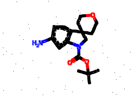 CC(C)(C)OC(=O)N1CC2(CCOCC2)c2ccc(N)cc21